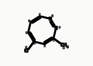 CC1=C/C(Cl)=C\C=C/N=N\1